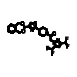 O=C(Cn1nc(C(F)F)cc1C(F)F)N1CCC(c2nc(C3OCc4ccccc4CO3)cs2)CC1